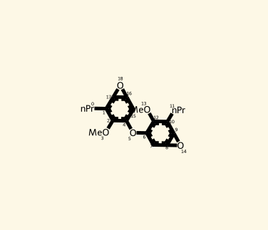 CCCc1c(OC)c(Oc2cc3c(c(CCC)c2OC)O3)cc2c1O2